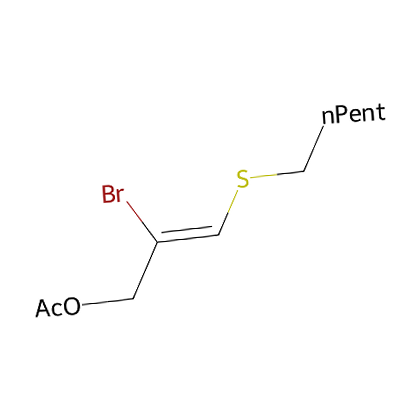 CCCCCCSC=C(Br)COC(C)=O